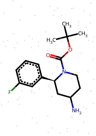 CC(C)(C)OC(=O)N1CCC(N)C[C@H]1c1cccc(F)c1